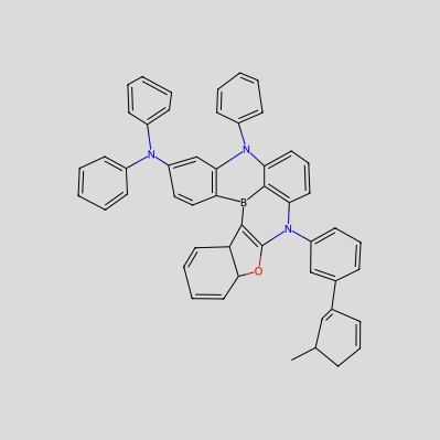 CC1C=C(c2cccc(N3C4=C(B5c6ccc(N(c7ccccc7)c7ccccc7)cc6N(c6ccccc6)c6cccc3c65)C3C=CC=CC3O4)c2)C=CC1